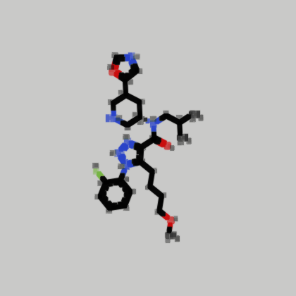 COCCCCc1c(C(=O)N(CC(C)C)[C@@H]2CNCC(c3cnco3)C2)nnn1-c1ccccc1F